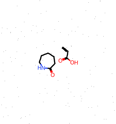 C=CC(=O)O.O=C1CCCCCN1